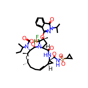 CCC(C)N(C(=O)O)[C@@H]1C(=O)N2[C@@H](C[C@@](C)(Oc3nn(C(C)C)c(=O)c4ccccc34)C2(F)F)C(=O)N[C@]2(C(=O)NS(=O)(=O)C3CC3)C[C@H]2/C=C\CC[C@H](C)C[C@H]1C